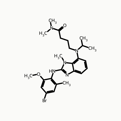 COc1cc(Br)cc(C)c1Nc1nc2cccc(N(CCCC(=O)N(C)C)C(C)C)c2n1C